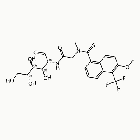 COc1ccc2c(C(=S)N(C)CC(=O)N[C@@H](C=O)[C@@H](O)[C@H](O)[C@H](O)CO)cccc2c1C(F)(F)F